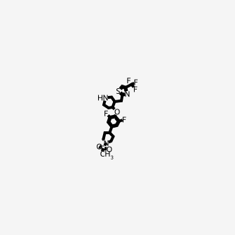 CS(=O)(=O)N1CCC(c2cc(F)c(OC3CCNCC3Cc3nc(C(F)(F)F)cs3)c(F)c2)CC1